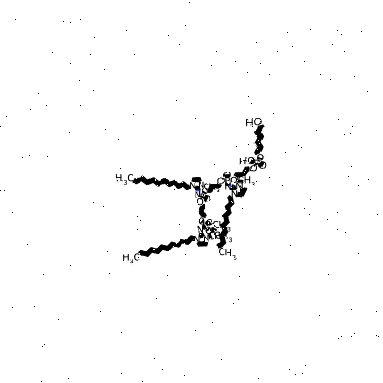 CCCCCCCCCCCCN1CCN(C)C1=NP(=O)(OCCCOP(=O)(/N=C1\N(C)CCN1CCCCCCCCCCCC)OCCCOP(=O)(/N=C1\N(C)CCN1CCCCCCCCCCCC)OCCCOP(=O)(O)OCCCCCCO)OC(C)C